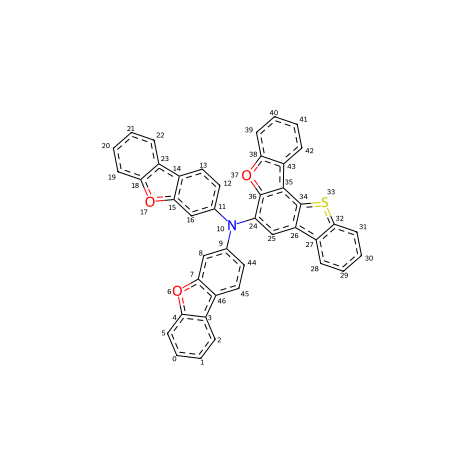 c1ccc2c(c1)oc1cc(N(c3ccc4c(c3)oc3ccccc34)c3cc4c5ccccc5sc4c4c3oc3ccccc34)ccc12